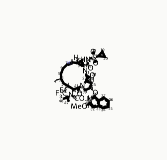 CC[C@@H]1C[C@@H](C)CC/C=C\[C@@H]2C[C@@]2(C(=O)NS(=O)(=O)C2CC2)NC(=O)[C@@H]2C[C@@H](Oc3nc(OC)cc4ccccc34)CN2C(=O)[C@H]1N(C(=O)O)C(C)(C)C(F)(F)F